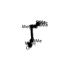 COc1cc(C2NC(=O)c3cc(Cl)ccc3N2)ccc1OCCCCCCCCCCOc1cc(-c2cc(-c3cc(OC)c(OC)c(OC)c3)on2)ccc1OC